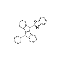 c1ccc(C2=C3C(=C(c4nc5ccccc5s4)c4ccccc43)c3ccccc32)cc1